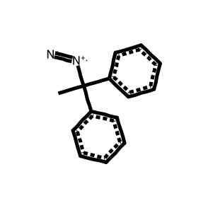 CC([N+]=[N-])(c1ccccc1)c1ccccc1